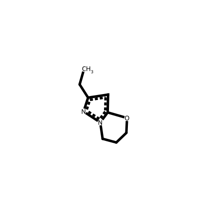 CCc1cc2n(n1)CCCO2